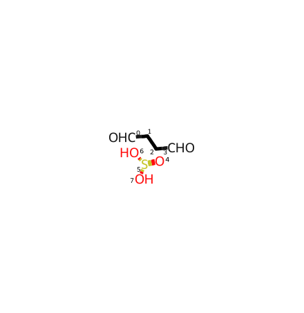 O=CCCC=O.O=S(O)O